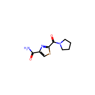 NC(=O)c1csc(C(=O)N2CCCC2)n1